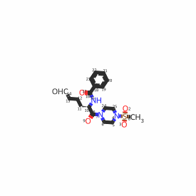 CS(=O)(=O)N1CCN(C(=O)[C@H](CCCC=O)NC(=O)c2ccccc2)CC1